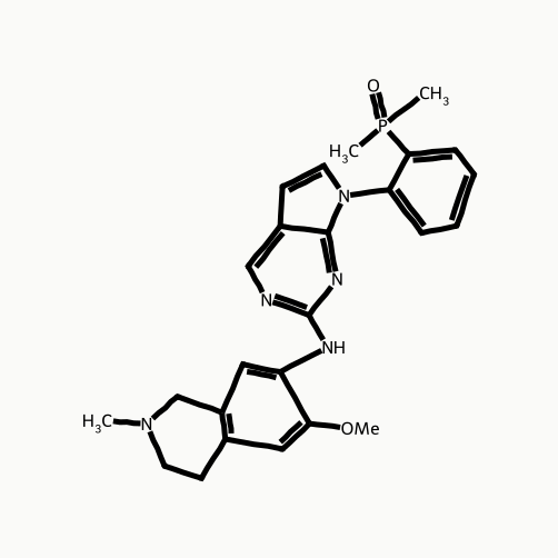 COc1cc2c(cc1Nc1ncc3ccn(-c4ccccc4P(C)(C)=O)c3n1)CN(C)CC2